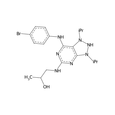 CC(O)CNc1nc(Nc2ccc(Br)cc2)c2c(n1)N(C(C)C)NN2C(C)C